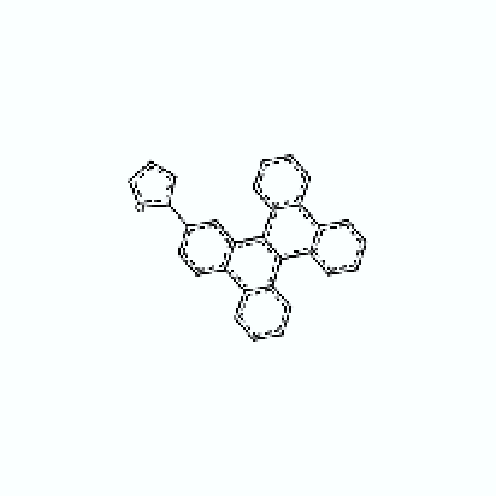 c1coc(-c2ccc3c4ccccc4c4c5ccccc5c5ccccc5c4c3c2)c1